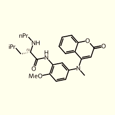 CCCN[C@@H](CC(C)C)C(=O)Nc1cc(N(C)c2cc(=O)oc3ccccc23)ccc1OC